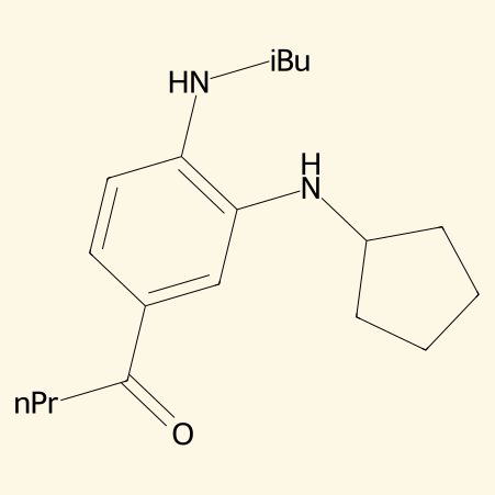 CCCC(=O)c1ccc(NC(C)CC)c(NC2CCCC2)c1